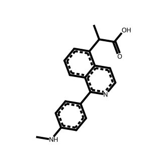 CNc1ccc(-c2nccc3c(C(C)C(=O)O)cccc23)cc1